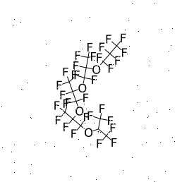 FC(F)(F)[C](OC(F)(F)C(F)(OC(F)(F)C(F)(OC(F)(F)C(F)(OC(F)(F)C(F)(F)C(F)(F)F)C(F)(F)F)C(F)(F)F)C(F)(F)F)C(F)(F)F